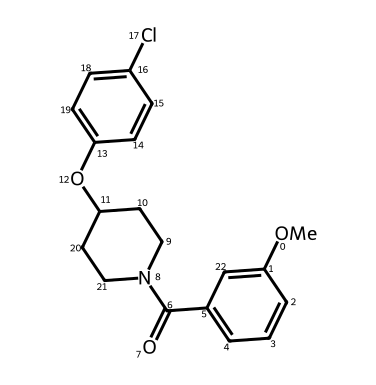 COc1cccc(C(=O)N2CCC(Oc3ccc(Cl)cc3)CC2)c1